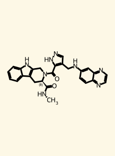 CNC(=O)[C@H]1Cc2c([nH]c3ccccc23)CN1C(=O)c1[nH]ncc1CNc1ccc2nccnc2c1